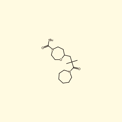 CC(C)(C)C(=O)N1CCOC(CC(C)(C)C(=O)N2CCCCCC2)CC1